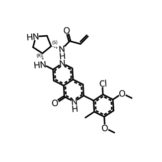 C=CC(=O)N[C@H]1CNC[C@H]1Nc1cc2c(=O)[nH]c(-c3c(C)c(OC)cc(OC)c3Cl)cc2cn1